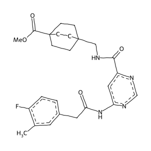 COC(=O)C12CCC(CNC(=O)c3cc(NC(=O)Cc4ccc(F)c(C)c4)ncn3)(CC1)CC2